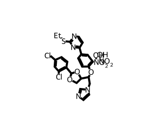 CCSc1nccc(-c2ccc(OC(Cn3ccnc3)C3COC(c4ccc(Cl)cc4Cl)O3)cc2)n1.O=[N+]([O-])O.O=[N+]([O-])O